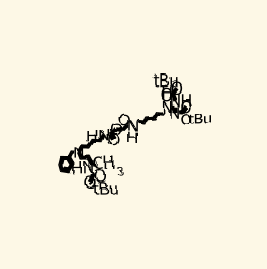 C[C@H](CCN(CCCCNC(=O)OCC(=O)NCCCCCCNC(=NC(=O)OC(C)(C)C)NC(=O)OC(C)(C)C)Cc1ccccc1)NC(=O)OC(C)(C)C